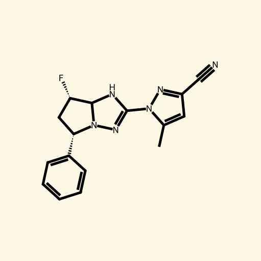 Cc1cc(C#N)nn1C1=NN2C(N1)[C@@H](F)C[C@H]2c1ccccc1